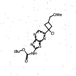 COCC1CC(Cl)(c2cnc3nc(NC(=O)OC(C)(C)C)sc3n2)C1